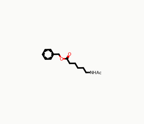 [CH2]C(=O)NCCCCCC(=O)OCc1ccccc1